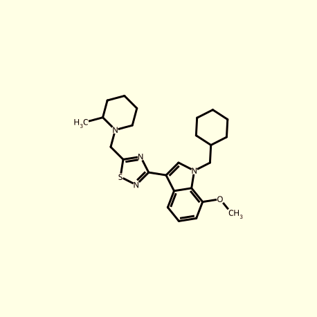 COc1cccc2c(-c3nsc(CN4CCCCC4C)n3)cn(CC3CCCCC3)c12